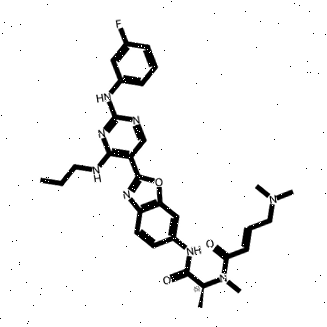 CCCNc1nc(Nc2cccc(F)c2)ncc1-c1nc2ccc(NC(=O)[C@H](C)N(C)C(=O)C=CCN(C)C)cc2o1